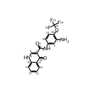 Nc1cc(NC(=O)c2c[nH]c3ccccc3c2=O)ccc1OC(F)(F)F